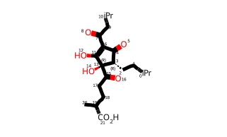 CC(C)CC[C@H]1C(=O)C(C(=O)CC(C)C)=C(O)[C@@]1(O)C(=O)CCC(C)C(=O)O